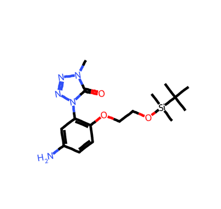 Cn1nnn(-c2cc(N)ccc2OCCO[Si](C)(C)C(C)(C)C)c1=O